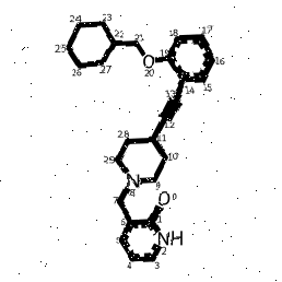 O=c1[nH]cccc1CN1CCC(C#Cc2ccccc2OCC2CCCCC2)CC1